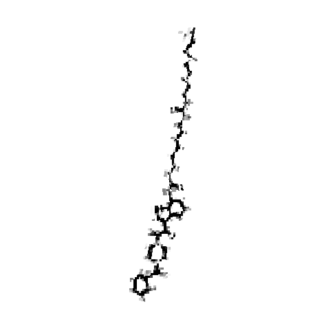 NCCOCCOCCNC(=O)NCCCCCCNC(=O)Nc1cccc2c(C(=O)C(=O)N3CCN(C(=O)c4ccccc4)CC3)c[nH]c12